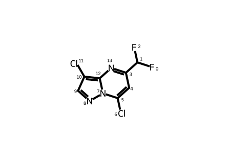 FC(F)c1cc(Cl)n2ncc(Cl)c2n1